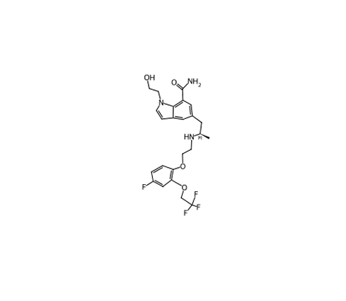 C[C@H](Cc1cc(C(N)=O)c2c(ccn2CCO)c1)NCCOc1ccc(F)cc1OCC(F)(F)F